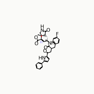 O=C1OCC/C1=C\[C@H](C[C@@H]1CCNC1=O)NC(=O)C(CC(=O)c1ccc(-c2ccccc2)[nH]1)Cc1ccc(F)cc1